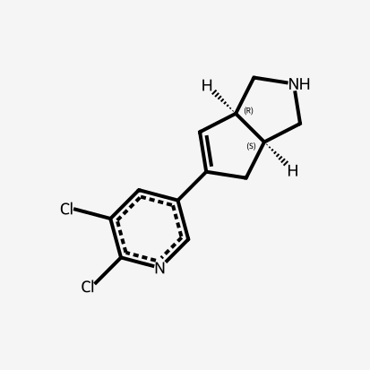 Clc1cc(C2=C[C@H]3CNC[C@H]3C2)cnc1Cl